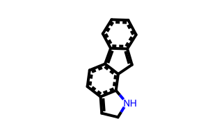 C1=c2ccc3c(c2NC1)C=c1ccccc1=3